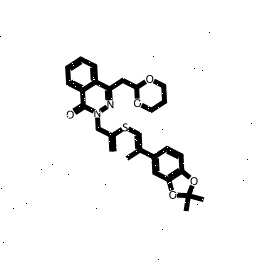 C=C(Cn1nc(CC2OCCCO2)c2ccccc2c1=O)S/C=C(\C)c1ccc2c(c1)OC(C)(C)O2